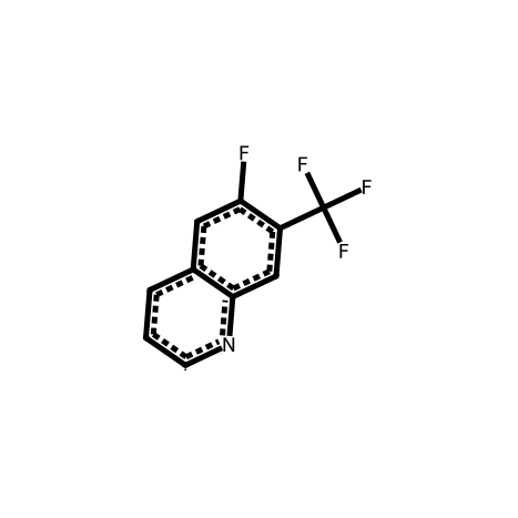 Fc1cc2cc[c]nc2cc1C(F)(F)F